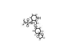 CN(C)S(=O)(=O)NC1CCCNC1COC1CCC2(CC1)OCCO2